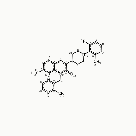 Cc1cnc2cc(C3CCN(c4c(C)cccc4F)CC3)c(=O)n(Cc3nccnc3C(F)(F)F)c2n1